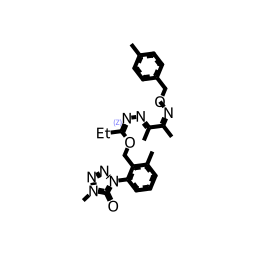 CC/C(=N/N=C(C)C(C)=NOCc1ccc(C)cc1)OCc1c(C)cccc1-n1nnn(C)c1=O